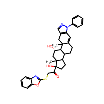 CC12Cc3cnn(-c4ccccc4)c3C=C1CCC1C2[C@@H](O)CC2(C)C1CC[C@]2(O)C(=O)CSc1nc2ccccc2o1